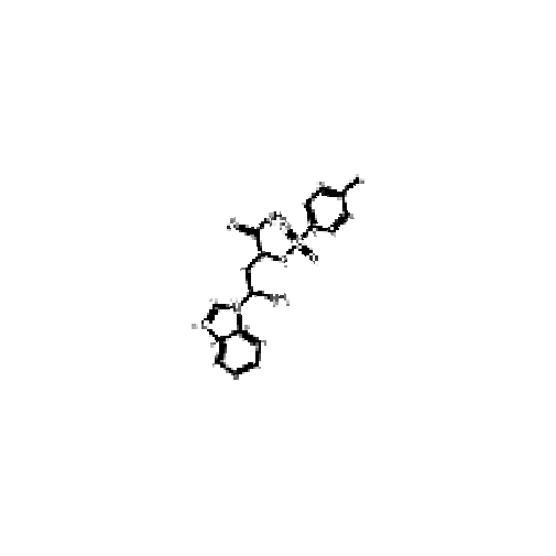 Cc1ccc(S(=O)(=O)OC(CC(N)n2cnc3ccccc32)C(=N)N)cc1